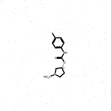 O=C(Nc1ccc(I)cc1)O[C@@H]1CCN(C(=O)O)C1